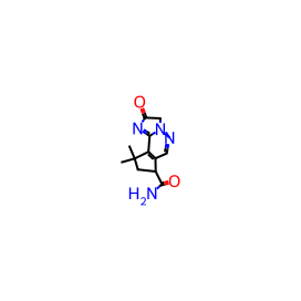 CC1(C)CC(C(N)=O)C2=C1C1=NC(=O)CN1N=C2